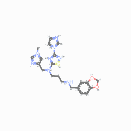 Cn1cnc(CN(CCCNCc2ccc3c(c2)OCO3)c2nc(-n3ccnc3)ns2)c1